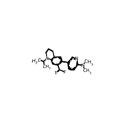 CC(C)N1CCCc2cc(-c3ccc(N(C)C)nc3)c(C(F)F)cc21